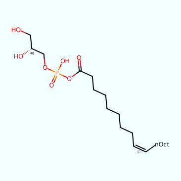 CCCCCCCC/C=C\CCCCCCCC(=O)OP(=O)(O)OC[C@H](O)CO